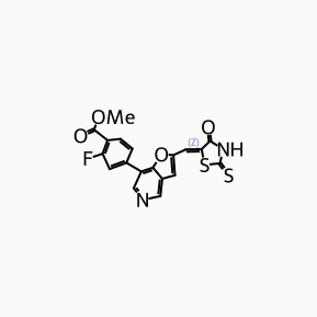 COC(=O)c1ccc(-c2cncc3cc(/C=C4\SC(=S)NC4=O)oc23)cc1F